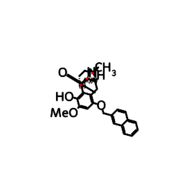 COc1cc(OCc2ccc3ccccc3c2)c2c(c1O)[C@]13CCN(C)[C@H](C2)[C@@H]1CCC(=O)C3